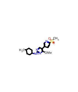 COc1nc(NC2CCC(C)CC2)ncc1-c1ccc(S(C)(=O)=O)nc1